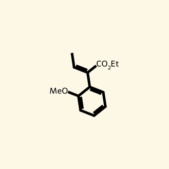 CC=C(C(=O)OCC)c1ccccc1OC